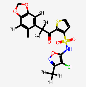 [2H]c1c(C)c(C([2H])([2H])C(=O)c2sccc2S(=O)(=O)Nc2onc(C([2H])([2H])[2H])c2Cl)c([2H])c2c1OCO2